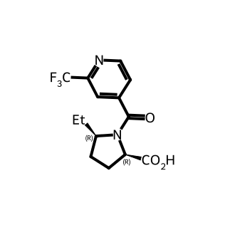 CC[C@@H]1CC[C@H](C(=O)O)N1C(=O)c1ccnc(C(F)(F)F)c1